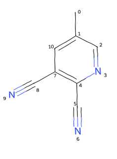 Cc1cnc(C#N)c(C#N)c1